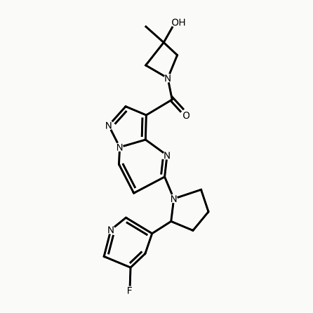 CC1(O)CN(C(=O)c2cnn3ccc(N4CCCC4c4cncc(F)c4)nc23)C1